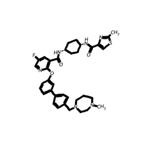 Cc1nc(C(=O)N[C@H]2CC[C@@H](NC(=O)c3cc(F)cnc3Oc3cccc(-c4ccc(CN5CCCN(C)CC5)cc4)c3)CC2)cs1